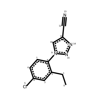 CCc1cc(Cl)ccc1-n1cc(C#N)nn1